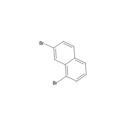 Brc1ccc2cc[c]c(Br)c2c1